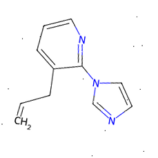 C=CCc1cccnc1-n1ccnc1